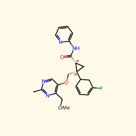 COCc1nc(C)ncc1OC[C@@]1(C2C=CC=C(F)C2)C[C@H]1C(=O)Nc1ccccn1